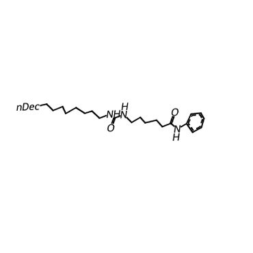 CCCCCCCCCCCCCCCCCCNC(=O)NCCCCCC(=O)Nc1ccccc1